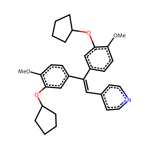 COc1ccc(C(=Cc2ccncc2)c2ccc(OC)c(OC3CCCC3)c2)cc1OC1CCCC1